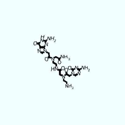 NCCN(CC(=O)NCCN(CC(N)=O)C(=O)Cn1cnc2c(=O)[nH]c(N)nc21)C(=O)Cn1cnc(N)nc1=O